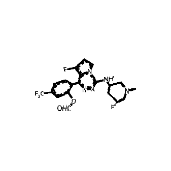 CN1C[C@H](F)C[C@@H](Nc2nnc(-c3ccc(C(F)(F)F)cc3OC=O)c3c(F)ccn23)C1